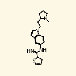 CN1CCCC1CCn1ccc2cc(NC(=N)C3CC=CS3)ccc21